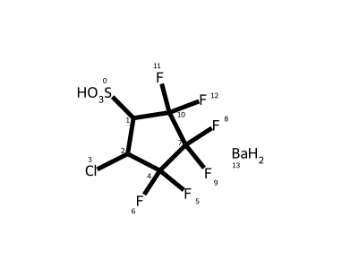 O=S(=O)(O)C1C(Cl)C(F)(F)C(F)(F)C1(F)F.[BaH2]